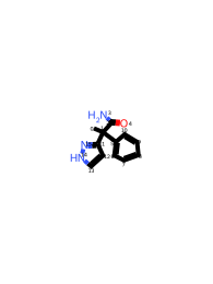 CC(C(N)=O)(c1ccccc1)c1cc[nH]n1